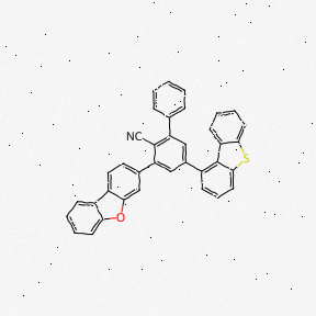 N#Cc1c(-c2ccccc2)cc(-c2cccc3sc4ccccc4c23)cc1-c1ccc2c(c1)oc1ccccc12